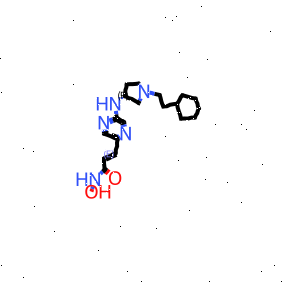 O=C(/C=C/c1cnc(N[C@@H]2CCN(CCC3CCCCC3)C2)cn1)NO